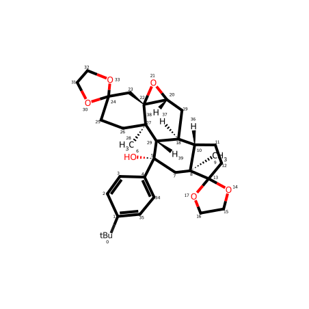 CC(C)(C)c1ccc([C@]2(O)C[C@@]3(C)[C@@H](CCC34OCCO4)[C@@H]3C[C@H]4O[C@]45CC4(CC[C@]5(C)[C@H]32)OCCO4)cc1